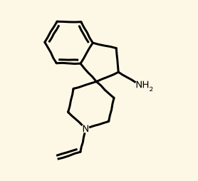 C=CN1CCC2(CC1)c1ccccc1CC2N